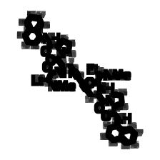 CC[C@H](NC)C(=O)N[C@@H](CC#CC#CC[C@H](NC(=O)[C@H](CC)NC)C(=O)N1CCC[C@H]1C(=O)N[C@@H]1CCCc2ccccc21)C(=O)N1CCC[C@H]1C(=O)N[C@@H]1CCCc2ccccc21